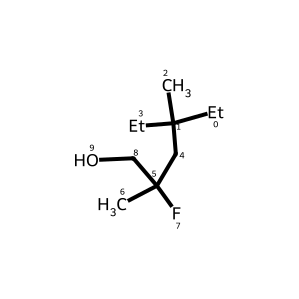 CCC(C)(CC)CC(C)(F)CO